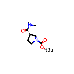 CN(C)C(=O)[C@H]1CCN(C(=O)OC(C)(C)C)C1